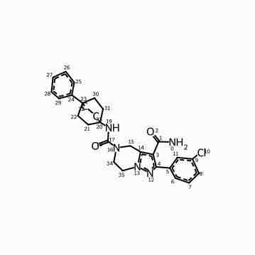 NC(=O)c1c(-c2cccc(Cl)c2)nn2c1CN(C(=O)NC13CCC(c4ccccc4)(CC1)CC3)CC2